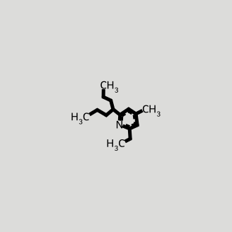 CCCC(CCC)c1cc(C)cc(CC)n1